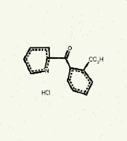 Cl.O=C(O)c1ccccc1C(=O)c1ccccn1